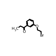 CCC(=O)c1cccc(OCCBr)c1